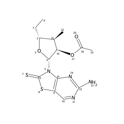 CC[C@H]1O[C@@H](n2c(=S)sc3cnc(N)nc32)[C@H](OC(C)=O)[C@@H]1C